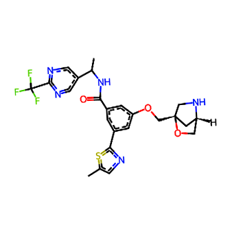 Cc1cnc(-c2cc(OC[C@]34CN[C@H](CO3)C4)cc(C(=O)NC(C)c3cnc(C(F)(F)F)nc3)c2)s1